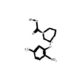 CC(C)(C)OC(=O)N1CCC[C@H](Oc2cc(C(F)(F)F)ccc2[N+](=O)[O-])C1